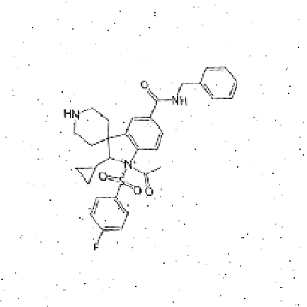 CC(=O)[N+]1(S(=O)(=O)c2ccc(F)cc2)c2ccc(C(=O)NCc3ccccc3)cc2C2(CCNCC2)C1C1CC1